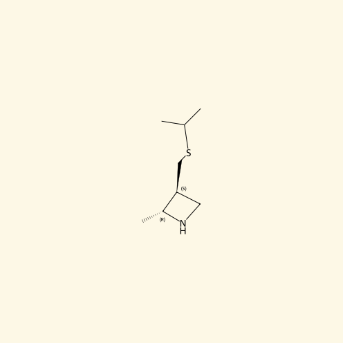 CC(C)SC[C@H]1CN[C@@H]1C